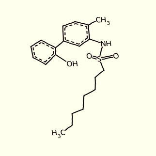 CCCCCCCCS(=O)(=O)Nc1cc(-c2ccccc2O)ccc1C